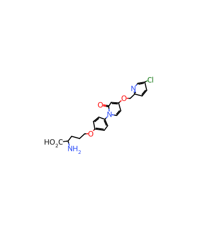 NC(CCCOc1ccc(-n2ccc(OCc3ccc(Cl)cn3)cc2=O)cc1)C(=O)O